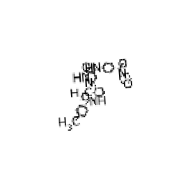 Cc1ccc(C(=O)Nc2cccc(-c3cc(Nc4ccc(C(=O)N5CCOCC5)cc4)c(=O)[nH]n3)c2C)cc1